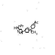 CCCNc1cc(-c2ccc(N(C)C3CCN(C(C)=O)CC3)nc2)ncn1